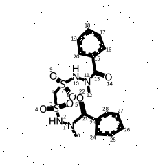 CN(NS(=O)(=O)CS(=O)(=O)NN(C)C(=O)c1ccccc1)C(=O)c1ccccc1